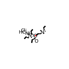 C=CC(=O)[O-].C=CC[N+](C)(C)CC=C.C=CC[N+](C)(C)CC=C.Cl.N.[Cl-]